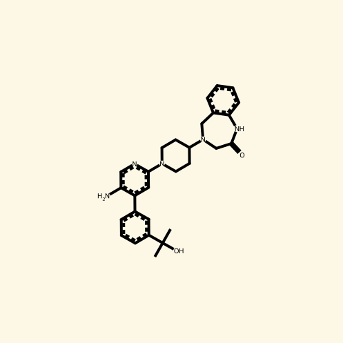 CC(C)(O)c1cccc(-c2cc(N3CCC(N4CC(=O)Nc5ccccc5C4)CC3)ncc2N)c1